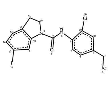 CC(=O)Cc1ccc(NC(=O)N2CCc3ccc(F)cc32)c(Cl)c1